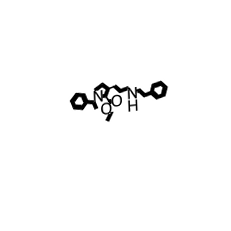 CCOC(=O)[C@@H]1[C@H](CCCNCCc2ccccc2)CCN1C(C)c1ccccc1